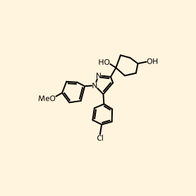 COc1ccc(-n2nc(C3(O)CCC(O)CC3)cc2-c2ccc(Cl)cc2)cc1